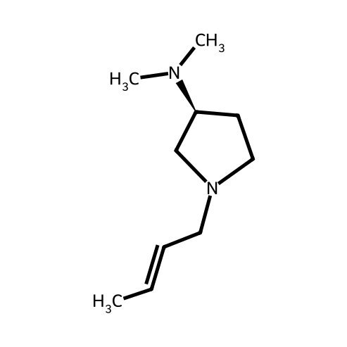 C/C=C/CN1CC[C@H](N(C)C)C1